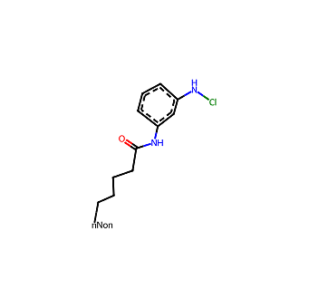 CCCCCCCCCCCCCC(=O)Nc1cccc(NCl)c1